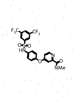 CNC(=O)c1cc(Oc2ccc(NS(=O)(=O)c3cc(C(F)(F)F)cc(C(F)(F)F)c3)cc2)ccn1